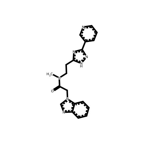 CN(CCc1nc(-c2cccnc2)n[nH]1)C(=O)Cn1cnc2ccccc21